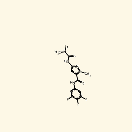 CCN(C)C(=O)Nc1cc(C(=O)Nc2cc(F)c(F)c(F)c2)n(C)n1